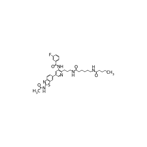 CCCCC(=O)NCCCCCC(=O)NCCCc1ncc(-c2ccc3nc(NC(C)=O)sc3c2)cc1NC(=O)c1cccc(F)c1